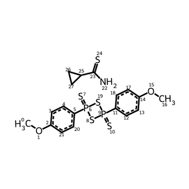 COc1ccc(P2(=S)SP(=S)(c3ccc(OC)cc3)S2)cc1.NC(=S)C1CC1